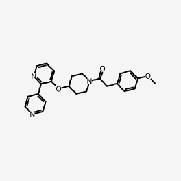 COc1ccc(CC(=O)N2CCC(Oc3cccnc3-c3ccncc3)CC2)cc1